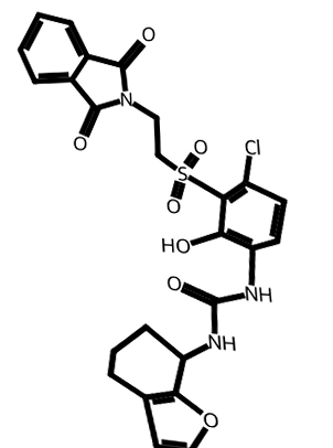 O=C(Nc1ccc(Cl)c(S(=O)(=O)CCN2C(=O)c3ccccc3C2=O)c1O)NC1CCCc2ccoc21